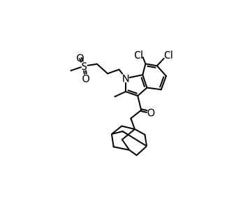 Cc1c(C(=O)CC23CC4CC(CC(C4)C2)C3)c2ccc(Cl)c(Cl)c2n1CCCS(C)(=O)=O